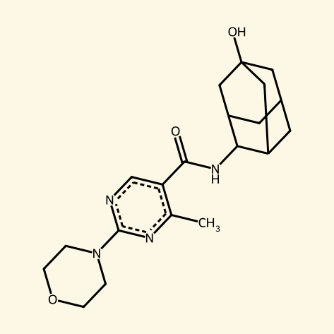 Cc1nc(N2CCOCC2)ncc1C(=O)NC1C2CC3CC1CC(O)(C3)C2